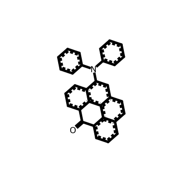 O=C1c2cccc3ccc4cc(N(c5ccccc5)c5ccccc5)c5cccc1c5c4c23